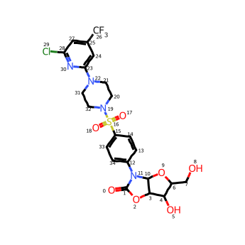 O=C1OC2C(O)C(CO)OC2N1c1ccc(S(=O)(=O)N2CCN(c3cc(C(F)(F)F)cc(Cl)n3)CC2)cc1